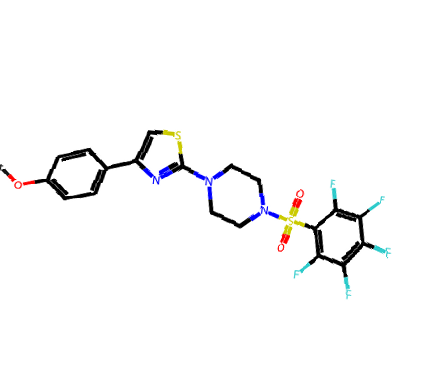 CCOc1ccc(-c2csc(N3CCN(S(=O)(=O)c4c(F)c(F)c(F)c(F)c4F)CC3)n2)cc1